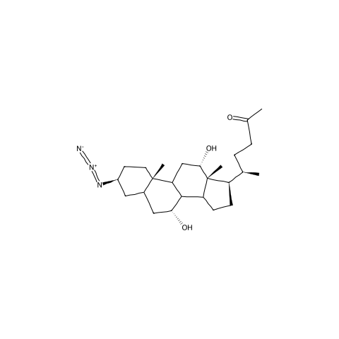 CC(=O)CC[C@@H](C)[C@H]1CCC2C3C(C[C@H](O)[C@@]21C)[C@@]1(C)CC[C@H](N=[N+]=[N-])CC1C[C@H]3O